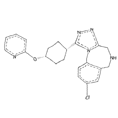 Clc1ccc2c(c1)CNCc1nnc([C@H]3CC[C@@H](Oc4ccccn4)CC3)n1-2